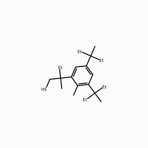 CCC(C)(CC)c1cc(C(C)(CC)CC)c(C)c(C(C)(CC)CS)c1